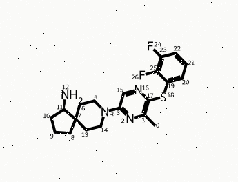 Cc1nc(N2CCC3(CCC[C@H]3N)CC2)cnc1Sc1cccc(F)c1F